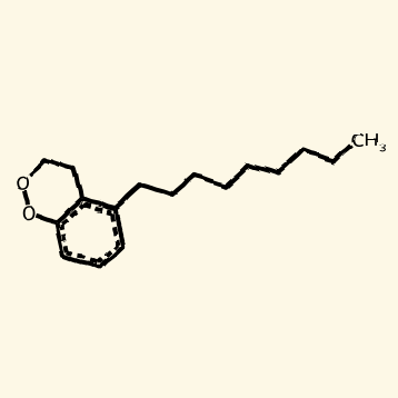 CCCCCCCCCc1cccc2c1CCOO2